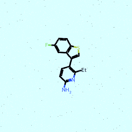 CCc1nc(N)ccc1-c1csc2ccc(F)cc12